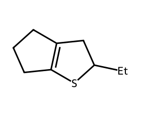 CCC1CC2=C(CCC2)S1